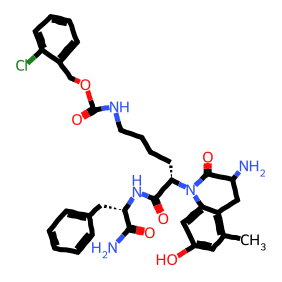 Cc1cc(O)cc2c1CC(N)C(=O)N2[C@@H](CCCCNC(=O)OCc1ccccc1Cl)C(=O)N[C@@H](Cc1ccccc1)C(N)=O